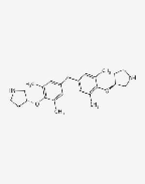 Cc1cc(Cc2cc(C)c(O[C@H]3CCNC3)c(C)c2)cc(C)c1O[C@@H]1CCNC1